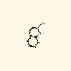 CC(C)c1ccc2ccncc2n1